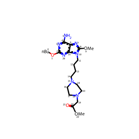 CCCCOc1nc(N)c2nc(OC)n(CCCCN3CCN(CC(=O)OC)CC3)c2n1